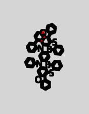 c1ccc(-c2ccccc2N2c3cc4c(cc3B3c5ccccc5Sc5c3c2cc2oc3ccccc3c52)B2c3ccccc3Sc3c2c(cc2oc5ccccc5c32)N4c2ccccc2)cc1